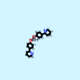 B(Oc1ccc(-c2ccccn2)cc1)Oc1ccc(-c2ccccn2)cc1